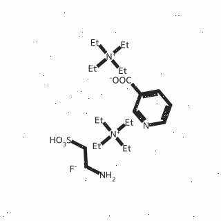 CC[N+](CC)(CC)CC.CC[N+](CC)(CC)CC.NCCS(=O)(=O)O.O=C([O-])c1cccnc1.[F-]